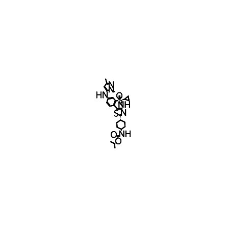 Cc1cc(Nc2ccc(-c3cnc([C@H]4CC[C@H](NC(=O)OC(C)C)CC4)s3)c(S(=N)(=O)C3CC3)c2)n(C)n1